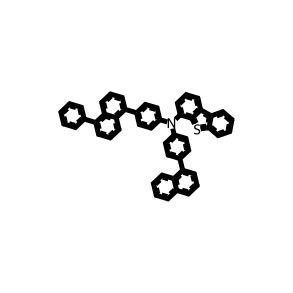 c1ccc(-c2cccc3c(-c4ccc(N(c5ccc(-c6cccc7ccccc67)cc5)c5cccc6c5sc5ccccc56)cc4)cccc23)cc1